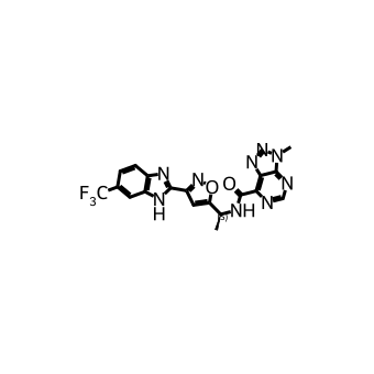 C[C@H](NC(=O)c1ncnc2c1nnn2C)c1cc(-c2nc3ccc(C(F)(F)F)cc3[nH]2)no1